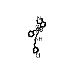 O=S(=O)(c1cccc2cnccc12)N(CCNCC=Cc1ccc(Cl)cc1)Cc1ccccc1